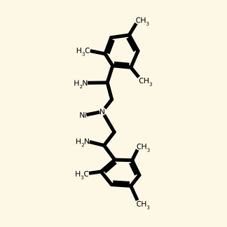 Cc1cc(C)c(C(N)C[N]([Ni])CC(N)c2c(C)cc(C)cc2C)c(C)c1